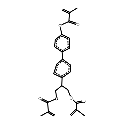 C=C(C)C(=O)OCC(COC(=O)C(=C)C)c1ccc(-c2ccc(OC(=O)C(=C)C)cc2)cc1